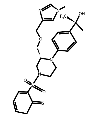 Cn1cnc(COC[C@H]2CN(S(=O)(=O)C3=CC=CCC3=S)CCN2c2ccc([C@@](C)(O)C(F)(F)F)cc2)c1